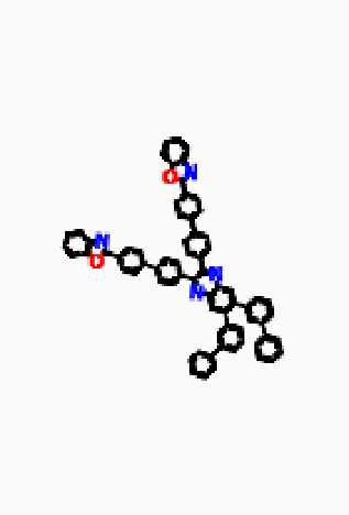 c1ccc(-c2cccc(-c3cc4nc(-c5ccc(-c6ccc(-c7nc8ccccc8o7)cc6)cc5)c(-c5ccc(-c6ccc(-c7nc8ccccc8o7)cc6)cc5)nc4cc3-c3cccc(-c4ccccc4)c3)c2)cc1